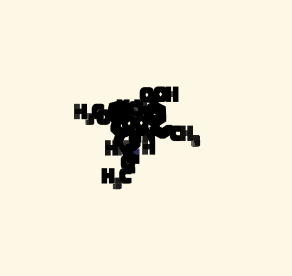 CCCC(NC(=O)N1C/C(=N/OCC)NCC(Cc2cc(Cl)ccc2OC)C1=O)c1ccc(C(=O)O)c(N)c1